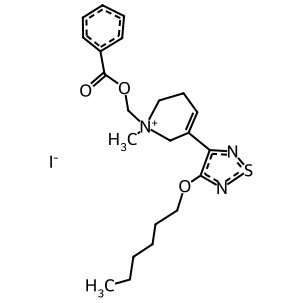 CCCCCCOc1nsnc1C1=CCC[N+](C)(COC(=O)c2ccccc2)C1.[I-]